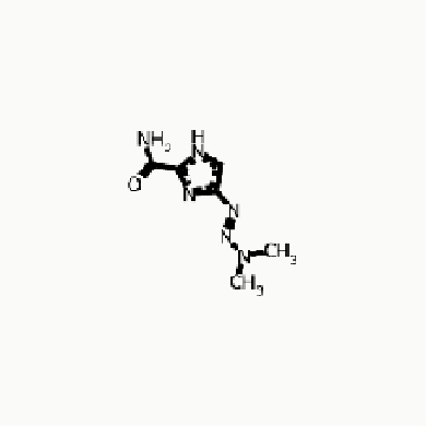 CN(C)N=Nc1c[nH]c(C(N)=O)n1